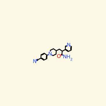 N#Cc1ccc(N2CCC(CC(C(N)=O)c3cccnc3)CC2)cc1